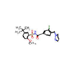 COc1ccc(C(C)(C)C)cc1S(=O)(=O)NC(=O)c1ccc(Cn2cccn2)c(F)c1